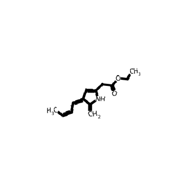 C=c1[nH]c(CC(=O)OCC)c/c1=C/C=C\C